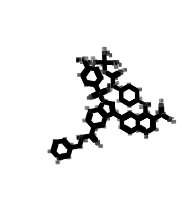 Cc1ccc(S(=O)(=O)n2cc(-c3ccc4ncc([N+](=O)[O-])c(N[C@H]5CC[C@H](NC(=O)OC(C)(C)C)CC5)c4c3)c3cc(C(=O)NCc4cccnc4)cnc32)cc1